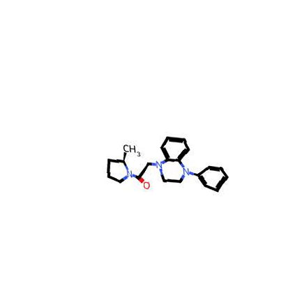 C[C@@H]1CCCN1C(=O)CN1CCN(c2ccccc2)c2ccccc21